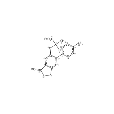 CCOC(=O)C(C)(C)Oc1cc2c(cc1-c1ccc(C(F)(F)F)cc1)CCC2=O